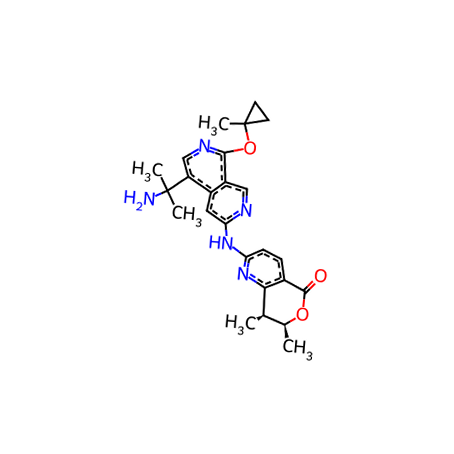 C[C@@H]1OC(=O)c2ccc(Nc3cc4c(C(C)(C)N)cnc(OC5(C)CC5)c4cn3)nc2[C@@H]1C